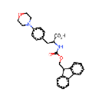 O=C(N[C@@H](Cc1ccc(N2CCOCC2)cc1)C(=O)O)OCC1c2ccccc2-c2ccccc21